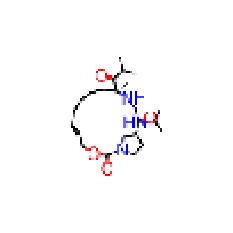 CC(C)N[C@]12CCN(C1)C(=O)OC/C=C/CCCC[C@@](C)(C(=O)C(C)C)NCC2=O